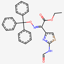 CCOC(=O)C(=NOC(c1ccccc1)(c1ccccc1)c1ccccc1)c1csc(NC=O)n1